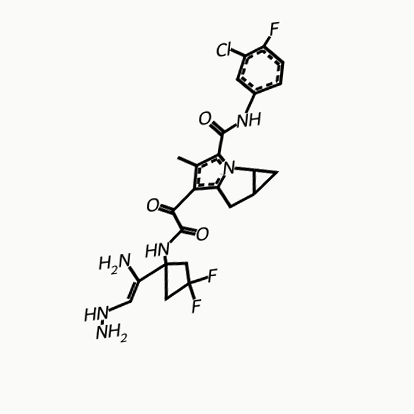 Cc1c(C(=O)C(=O)NC2(/C(N)=C/NN)CC(F)(F)C2)c2n(c1C(=O)Nc1ccc(F)c(Cl)c1)C1CC1C2